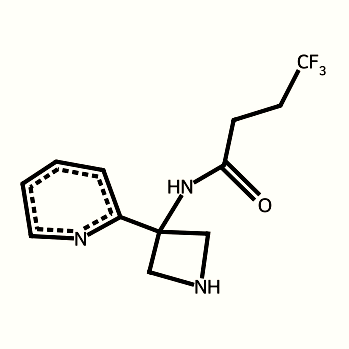 O=C(CCC(F)(F)F)NC1(c2ccccn2)CNC1